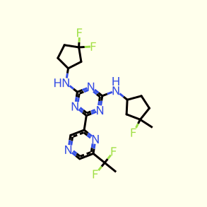 CC1(F)CCC(Nc2nc(NC3CCC(F)(F)C3)nc(-c3cncc(C(C)(F)F)n3)n2)C1